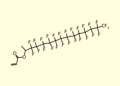 C=CC(=O)OC(C)C(F)(F)C(F)(F)C(F)(F)C(F)(F)C(F)(F)C(F)(F)C(F)(F)C(F)(F)C(F)(F)C(F)(F)C(F)(F)C(F)(F)C(F)(F)F